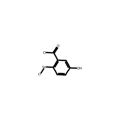 O=C(Cl)c1cc(O)ccc1[Se]Cl